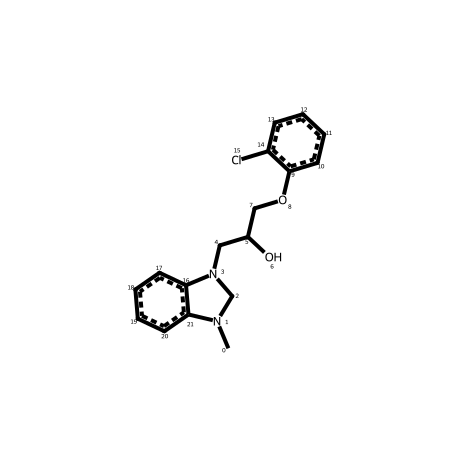 CN1CN(CC(O)COc2ccccc2Cl)c2ccccc21